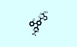 CN(C)c1ncc(-c2ccc(C(=O)N3CCCC3C(=O)O)cc2-c2ccccc2Cl)cn1